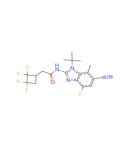 Cc1c(C#N)cc(F)c2nc(NC(=O)CC3CC(F)(F)C3(F)F)n(C(C)(C)C)c12